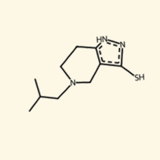 CC(C)CN1CCc2[nH]nc(S)c2C1